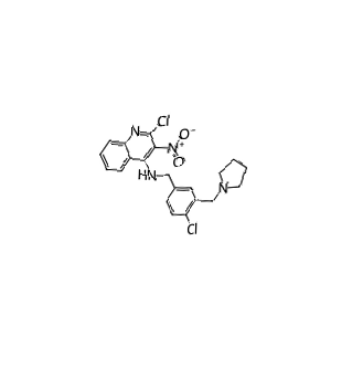 O=[N+]([O-])c1c(Cl)nc2ccccc2c1NCc1ccc(Cl)c(CN2CCCC2)c1